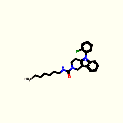 O=C(O)CCCCCCNC(=O)N1CCc2c(c3ccccc3n2-c2ccccc2F)C1